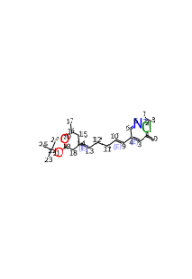 C=C(Cl)/C=C(C=[N+]=CC)/C=C/CC/C=C(\CCC)CC(=O)OC(C)(C)C